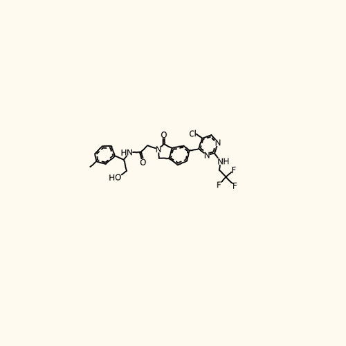 Cc1cccc(C(CO)NC(=O)CN2Cc3ccc(-c4nc(NCC(F)(F)F)ncc4Cl)cc3C2=O)c1